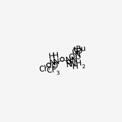 CC(C)(C)OC(=O)N1CCCC(NC(=O)c2nc(-c3cccc(CNC(=O)Nc4ccc(Cl)c(C(F)(F)F)c4)c3)cnc2N)C1